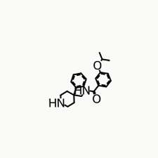 CC(C)Oc1cccc(C(=O)NCC2(c3ccccc3)CCNCC2)c1